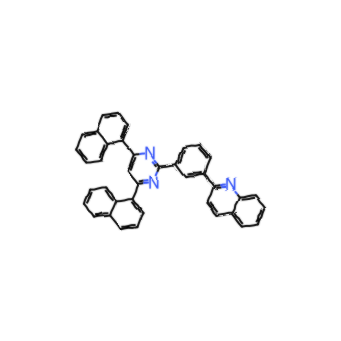 c1cc(-c2ccc3ccccc3n2)cc(-c2nc(-c3cccc4ccccc34)cc(-c3cccc4ccccc34)n2)c1